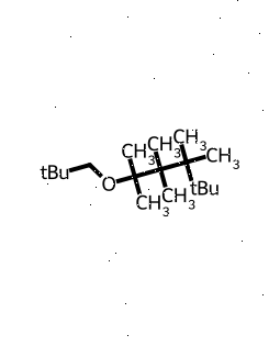 CC(C)(C)COC(C)(C)C(C)(C)C(C)(C)C(C)(C)C